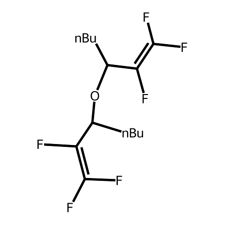 CCCCC(OC(CCCC)C(F)=C(F)F)C(F)=C(F)F